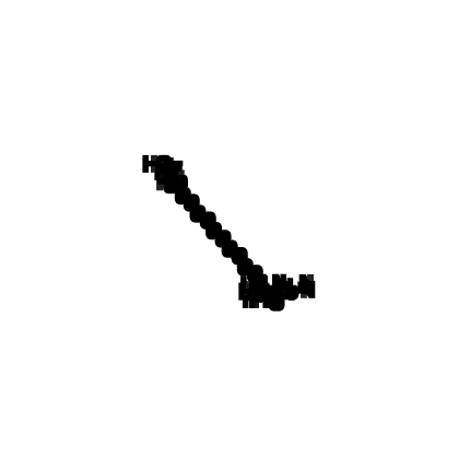 CCCN(C/C(=C/NCCOCCOCCOCCOCCOCCOCCOCCOCCOCCOCCC(=O)Oc1c(F)c(F)c(SO)c(F)c1F)N=N)C(=O)C1=Cc2ccc(-c3cncnc3)cc2N=C(N)C1